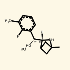 CC12CC(C1)[C@H]([C@H](O)c1cccc(N)c1F)N2.Cl